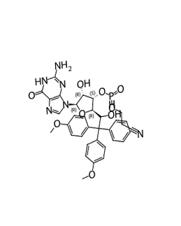 COc1ccc(C(c2ccccc2)(c2ccc(OC)cc2)C(O)[C@H]2O[C@@H](n3cnc4c(=O)[nH]c(N)nc43)[C@H](O)[C@@H]2O[PH](=O)OCCC#N)cc1